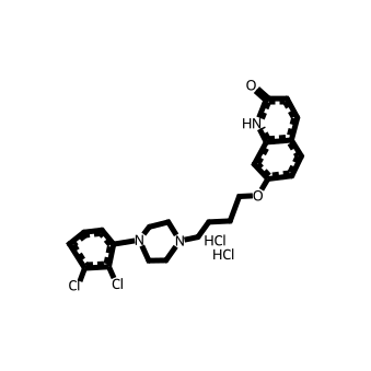 Cl.Cl.O=c1ccc2ccc(OCCCCN3CCN(c4cccc(Cl)c4Cl)CC3)cc2[nH]1